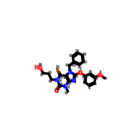 COc1cccc(Oc2nc3c(c(=S)n(CCCO)c(=O)n3C)n2Cc2ccccc2)c1